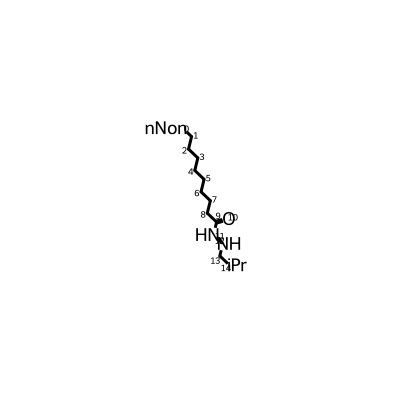 CCCCCCCCCCCCCCCCCC(=O)NNCC(C)C